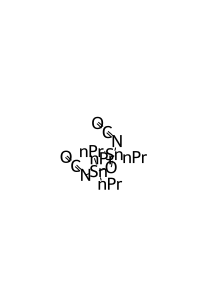 CC[CH2][Sn]([CH2]CC)([N]=C=O)[O][Sn]([CH2]CC)([CH2]CC)[N]=C=O